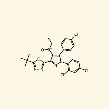 CC[S+]([O-])c1c(-c2nnc(C(C)(C)C)o2)nn(-c2ccc(Cl)cc2Cl)c1-c1ccc(Cl)cc1